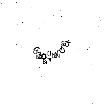 CC(C)(C)OC(=O)N1CCC[C@@H](Cn2ncc([C@@H]3C[C@@H]3c3c(Cl)cc4c(cnn4[C@H]4CCCCO4)c3Br)n2)C1